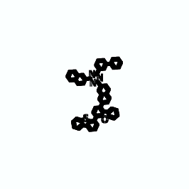 c1ccc(-c2cccc(-c3nc(-c4ccc5ccccc5c4)nc(-c4ccc5ccc(-c6ccc(-c7cccc8c7sc7ccccc78)c7oc8ccccc8c67)cc5c4)n3)c2)cc1